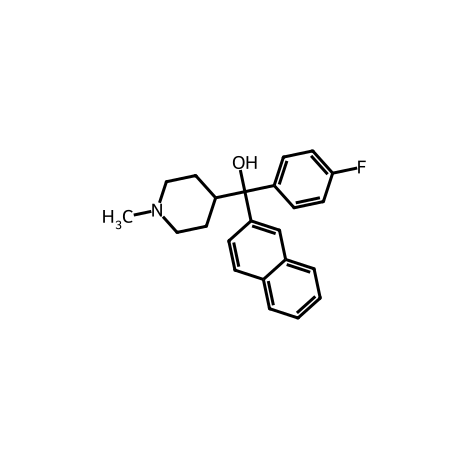 CN1CCC(C(O)(c2ccc(F)cc2)c2ccc3ccccc3c2)CC1